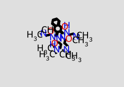 CCN(CC)CCC(=O)n1c(NCCN(C)C)c2c(=O)c3ccccc3c(=O)c-2c(NCCN(C)C)n1C(=O)CCN(CC)CC